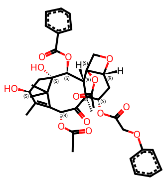 CC(=O)O[C@H]1C(=O)[C@]2(C)[C@@H](OC(=O)COc3ccccc3)C[C@H]3OC[C@@]3(OC(C)=O)[C@H]2[C@H](OC(=O)c2ccccc2)[C@]2(O)C[C@H](O)C(C)=C1C2(C)C